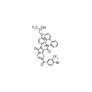 C[C@@H]1Cn2c(c(C(=O)NCc3ccccc3-c3ccccn3)n(-c3ccc(OC[C@H](O)C(F)(F)F)cc3)c2=O)CN1C(=O)c1ccc(Br)c(C(F)(F)F)c1